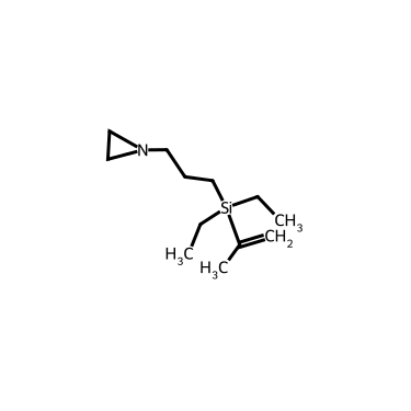 C=C(C)[Si](CC)(CC)CCCN1CC1